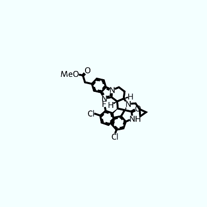 COC(=O)Cc1ccc2c(c1)nc1n2CC[C@H]2[C@@H]1[C@H](c1cccc(Cl)c1F)[C@]1(C(=O)Nc3cc(Cl)ccc31)N2CC1CC1